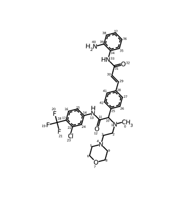 CN(CCN1CCOCC1)C(C(=O)Nc1ccc(C(F)(F)F)c(Cl)c1)c1ccc(/C=C/C(=O)Nc2ccccc2N)cc1